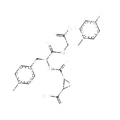 Cc1ccc(C[C@H](NC(=O)[C@H]2OC2C(=O)O)C(=O)N[C@@H](Cc2ccc(O)cc2)C(N)=O)cc1